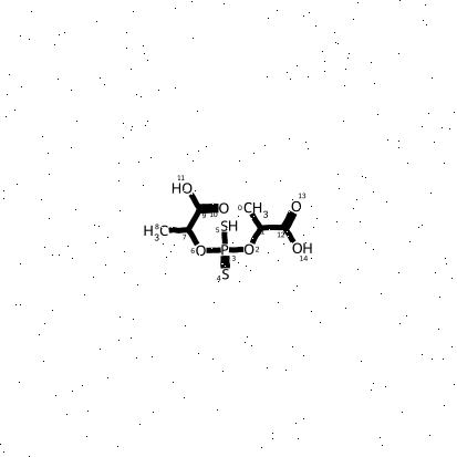 CC(OP(=S)(S)OC(C)C(=O)O)C(=O)O